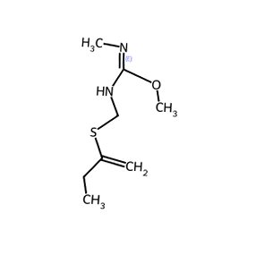 C=C(CC)SCN/C(=N\C)OC